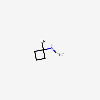 N#CC1(N[C]=O)CCC1